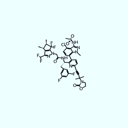 C[C@@H]1c2c(C(F)F)nn(CC(=O)N[C@@H](Cc3cc(F)cc(F)c3)c3nc(C#CC(C)(C)N4CCOC4=O)ccc3-c3ccc(Cl)c4c(NS(C)(=O)=O)nn(C)c34)c2C(F)(F)[C@@H]1C